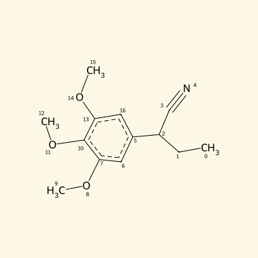 CCC(C#N)c1cc(OC)c(OC)c(OC)c1